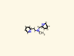 CN(CCc1ccccn1)Cc1ccccn1